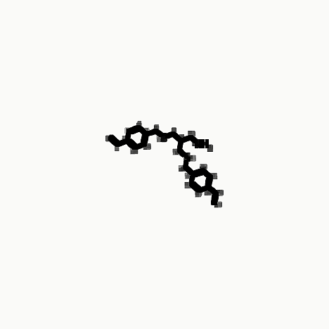 C=Cc1ccc(CSCC(CN)CSCc2ccc(C=C)cc2)cc1